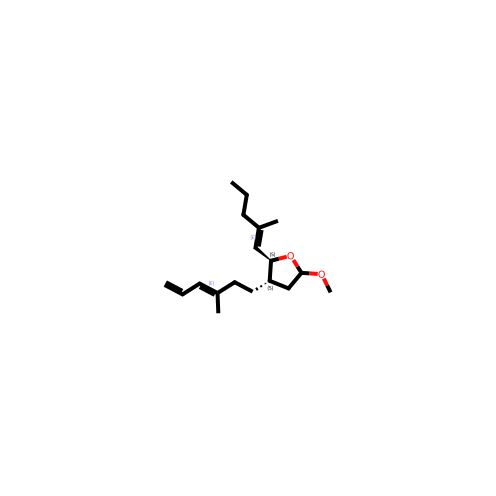 C=C/C=C(\C)CC[C@H]1CC(OC)O[C@@H]1/C=C(\C)CCC